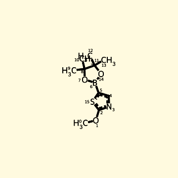 COc1ncc(B2OC(C)(C)C(C)(C)O2)s1